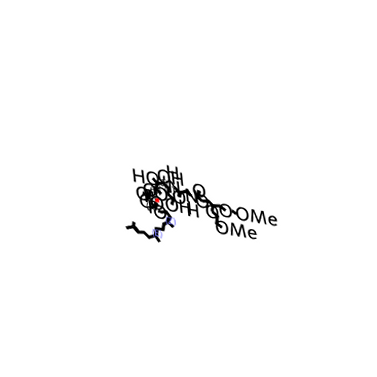 COCCOCC(COC(=O)NCC(=O)N[C@@H]1C(CO)O[C@H](O[P@](C)(=O)O[P@](C)(=O)OC/C=C(/C)CC/C=C(\C)CCC=C(C)C)C(O)[C@H]1O)OCCOC